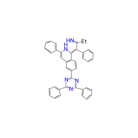 CCC(=N)/C(=C1\NC(c2ccccc2)=Cc2cc(-c3nc(-c4ccccc4)nc(-c4ccccc4)n3)ccc21)c1ccccc1